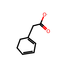 [O]C(=O)CC1=CC=CCC1